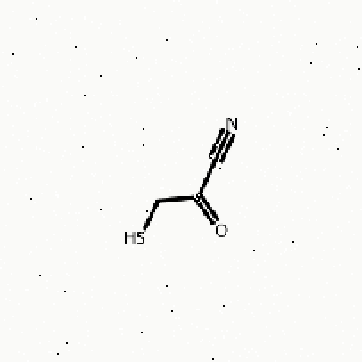 N#CC(=O)CS